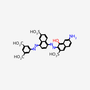 Nc1ccc2cc(S(=O)(=O)O)c(N=Nc3ccc(N=Nc4cc(C(=O)O)cc(C(=O)O)c4)c4cc(S(=O)(=O)O)ccc34)c(O)c2c1